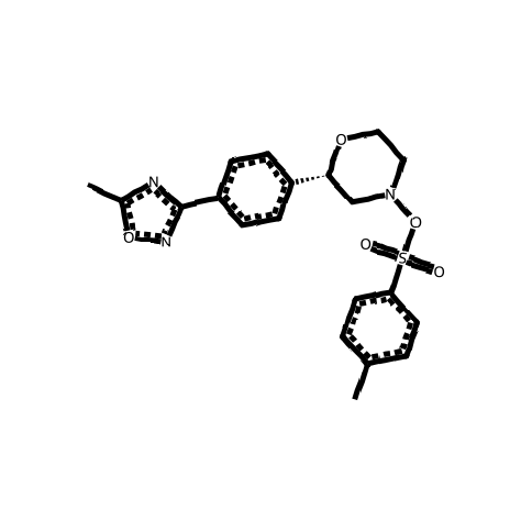 Cc1ccc(S(=O)(=O)ON2CCO[C@@H](c3ccc(-c4noc(C)n4)cc3)C2)cc1